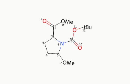 COC(=O)C1CCC(OC)N1C(=O)OC(C)(C)C